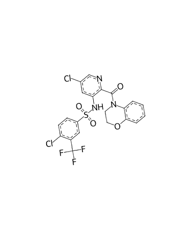 O=C(c1ncc(Cl)cc1NS(=O)(=O)c1ccc(Cl)c(C(F)(F)F)c1)N1CCOc2ccccc21